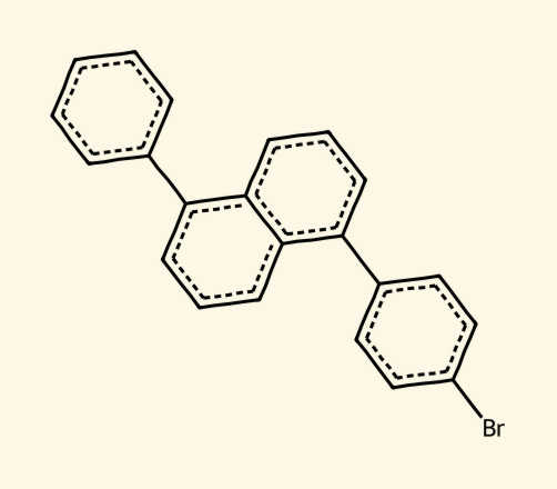 Brc1ccc(-c2cccc3c(-c4ccccc4)cccc23)cc1